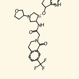 O=C(CN1CCc2ccc(C(F)(F)F)cc2C1=O)NC1CN(C2CCOC2)C[C@@H]1OC1CCc2cc[nH]c21